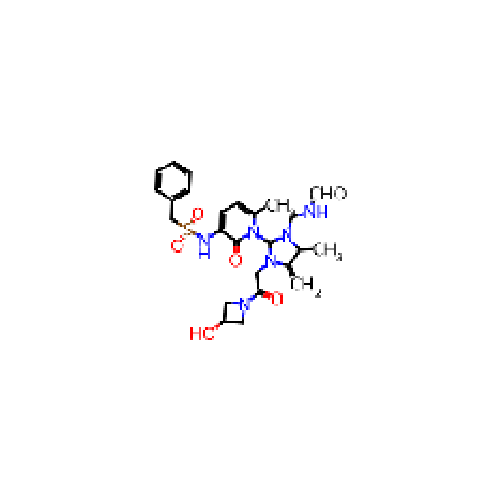 C=C1C(C)N(CNC=O)C(n2c(C)ccc(NS(=O)(=O)Cc3ccccc3)c2=O)N1CC(=O)N1CC(O)C1